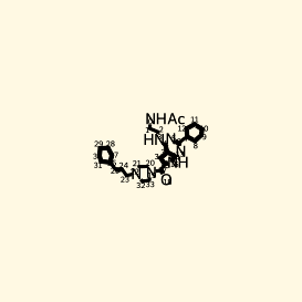 CC(=O)NCCNc1nc(-c2ccccc2)nc2[nH]c(C(=O)N3CCN(C/C=C/c4ccccc4)CC3)cc12